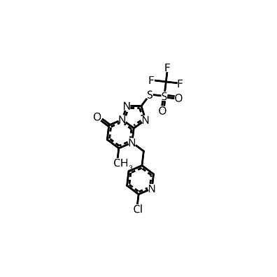 Cc1cc(=O)n2nc(SS(=O)(=O)C(F)(F)F)nc2n1Cc1ccc(Cl)nc1